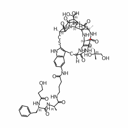 CC(O)[C@H]1NC(=O)[C@H](C)NC(=O)[C@H](C[C@@](C)(O)CO)NC(=O)[C@@H]2Cc3c([nH]c4ccc(NC(=O)CCCNC(=O)[C@@H](C)NC(=O)[C@@H](Cc5ccccc5)NC(=O)CCO)cc34)SC[C@@H](NC1=O)C(=O)N1C[C@H](O)C[C@H]1C(=O)N[C@@H](C)C(=O)N2